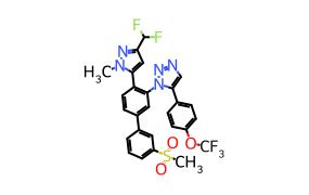 Cn1nc(C(F)F)cc1-c1ccc(-c2cccc(S(C)(=O)=O)c2)cc1-n1nncc1-c1ccc(OC(F)(F)F)cc1